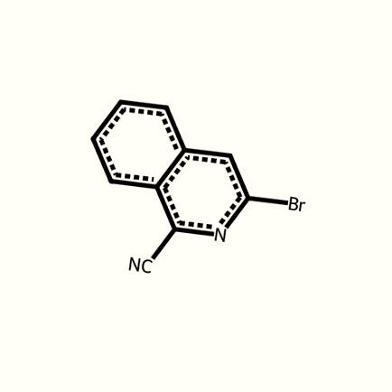 N#Cc1nc(Br)cc2ccccc12